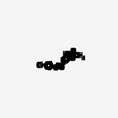 CS(=O)(=O)NC1CCN(C(=O)COc2ccc(Cl)cc2)CC1